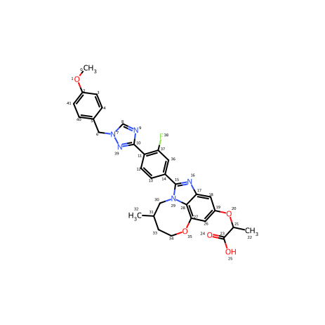 COc1ccc(Cn2cnc(-c3ccc(-c4nc5cc(OC(C)C(=O)O)cc6c5n4CC(C)CCO6)cc3F)n2)cc1